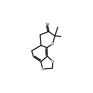 CC1(C)OC2=C3OCOC3=CCC2CC1=[Se]